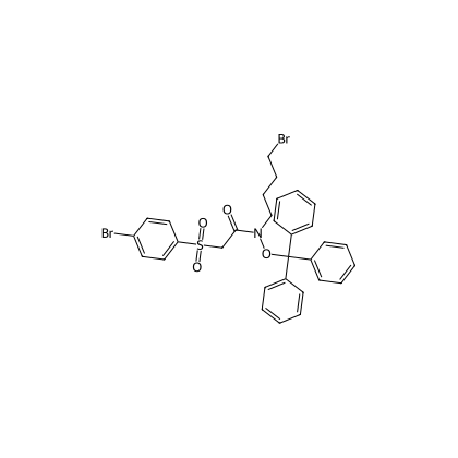 O=C(CS(=O)(=O)c1ccc(Br)cc1)N(CCCCBr)OC(c1ccccc1)(c1ccccc1)c1ccccc1